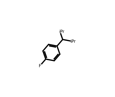 CC(C)C(c1ccc(F)cc1)C(C)C